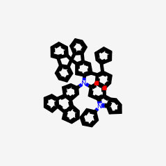 c1ccc(-c2ccccc2-c2cc3c(cc2N(c2ccc4c5ccccc5c5ccccc5c4c2)c2ccc4c5ccccc5n(-c5ccccc5)c4c2)C2(c4ccccc4-c4ccccc42)c2ccccc2-3)cc1